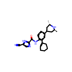 C[C@H]1CC(c2ccc(NC(=O)c3ncc(C#N)[nH]3)c(C3=CCCCC3)c2)C[C@H](C)N1